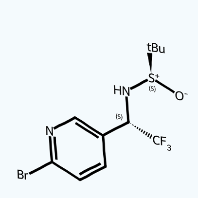 CC(C)(C)[S@@+]([O-])N[C@@H](c1ccc(Br)nc1)C(F)(F)F